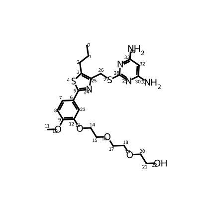 CCCc1sc(-c2ccc(OC)c(OCCOCCOCCO)c2)nc1CSc1nc(N)cc(N)n1